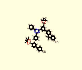 CC1(C)OB(c2ccc(-c3ccc(C#N)cc3)cc2)OC1(C)C.CC1(C)c2cc(C#N)ccc2-c2ccc(-c3cc(B4OC(C)(C)C(C)(C)O4)cc(-c4nc(-c5ccccc5)nc(-c5ccccc5)n4)c3)cc21